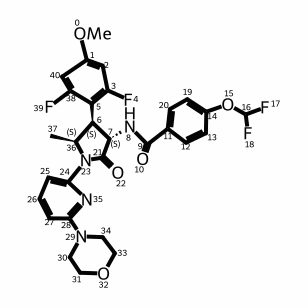 COc1cc(F)c([C@H]2[C@H](NC(=O)c3ccc(OC(F)F)cc3)C(=O)N(c3cccc(N4CCOCC4)n3)[C@H]2C)c(F)c1